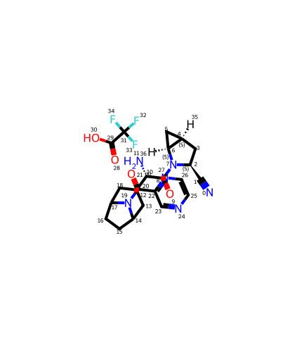 N#C[C@@H]1C[C@@H]2C[C@@H]2N1C(=O)[C@@H](N)C1CC2CCC(C1)N2C(=O)c1cnccn1.O=C(O)C(F)(F)F